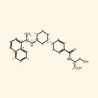 CCOC(=O)[C@H](CO)NC(=O)C1=CCC([C@H]2CCC[C@H](N[C@H](C)c3cccc4ccccc34)C2)C=C1